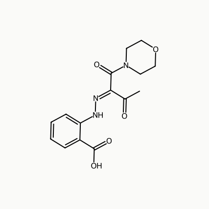 CC(=O)/C(=N\Nc1ccccc1C(=O)O)C(=O)N1CCOCC1